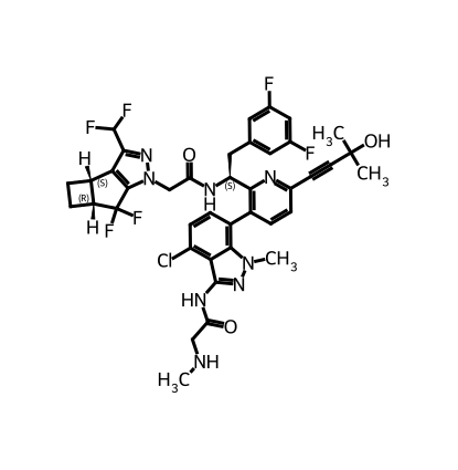 CNCC(=O)Nc1nn(C)c2c(-c3ccc(C#CC(C)(C)O)nc3[C@H](Cc3cc(F)cc(F)c3)NC(=O)Cn3nc(C(F)F)c4c3C(F)(F)[C@@H]3CC[C@H]43)ccc(Cl)c12